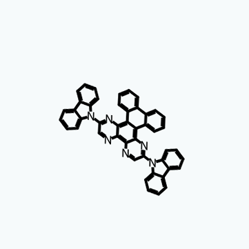 c1ccc2c(c1)c1ccccc1c1c3nc(-n4c5ccccc5c5ccccc54)cnc3c3ncc(-n4c5ccccc5c5ccccc54)nc3c21